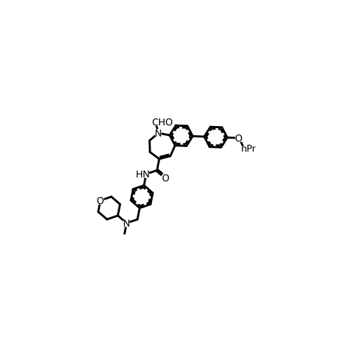 CCCOc1ccc(-c2ccc3c(c2)C=C(C(=O)Nc2ccc(CN(C)C4CCOCC4)cc2)CCN3C=O)cc1